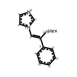 CCCCCCC(=Cn1ccnc1)c1ccccc1